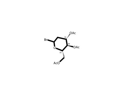 CC(=O)OC[C@@H]1OC(Br)C[C@H](OC(C)=O)[C@H]1OC(C)=O